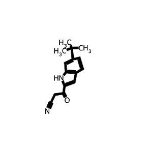 CC(C)(C)c1ccc2cc(C(=O)CC#N)[nH]c2c1